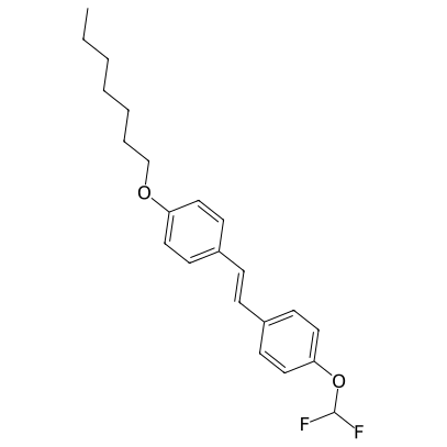 CCCCCCCOc1ccc(C=Cc2ccc(OC(F)F)cc2)cc1